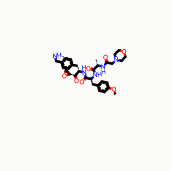 COc1ccc(C[C@H](NC(=O)[C@H](C)NC(=O)CN2CCOCC2)C(=O)N[C@@H](Cc2ccc(CN)cc2)C(=O)[C@H]2CO2)cc1